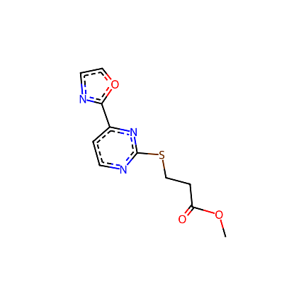 COC(=O)CCSc1nccc(-c2ncco2)n1